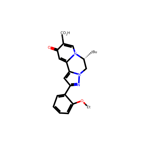 CCOc1ccccc1-c1cc2n(n1)C[C@@H](C(C)(C)C)n1cc(C(=O)O)c(=O)cc1-2